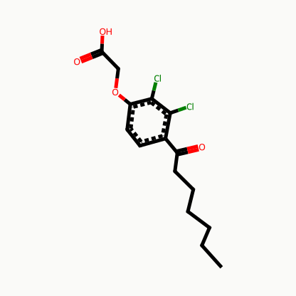 CCCCCCC(=O)c1ccc(OCC(=O)O)c(Cl)c1Cl